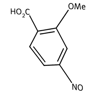 COc1cc(N=O)ccc1C(=O)O